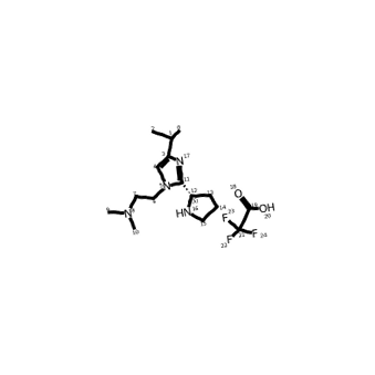 CC(C)c1cn(CCN(C)C)c([C@@H]2CCCN2)n1.O=C(O)C(F)(F)F